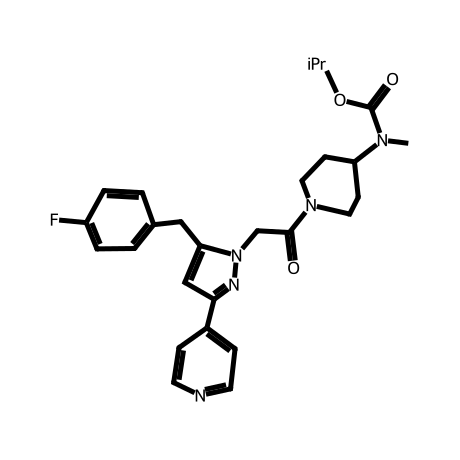 CC(C)OC(=O)N(C)C1CCN(C(=O)Cn2nc(-c3ccncc3)cc2Cc2ccc(F)cc2)CC1